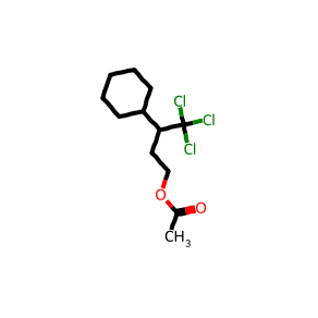 CC(=O)OCCC(C1CCCCC1)C(Cl)(Cl)Cl